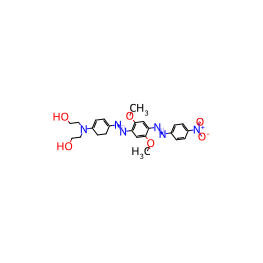 COc1cc(/N=N/c2ccc([N+](=O)[O-])cc2)c(OC)cc1/N=N/C1=CC=C(N(CCO)CCO)CC1